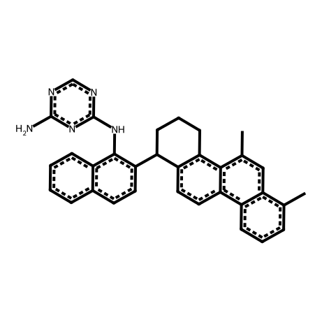 Cc1cccc2c1cc(C)c1c3c(ccc12)C(c1ccc2ccccc2c1Nc1ncnc(N)n1)CCC3